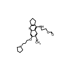 COc1cc2c(NCCOC=O)c3c(nc2cc1OCCCN1CCCC1)CCC3